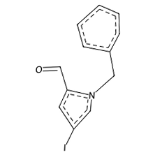 O=Cc1cc(I)cn1Cc1ccccc1